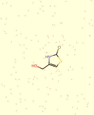 OCC1=CSC(Cl)N1